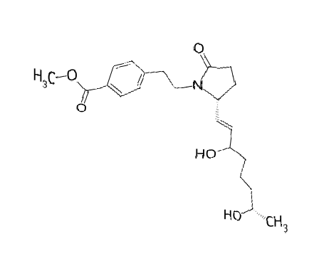 COC(=O)c1ccc(CCN2C(=O)CC[C@@H]2/C=C/C(O)CCC[C@H](C)O)cc1